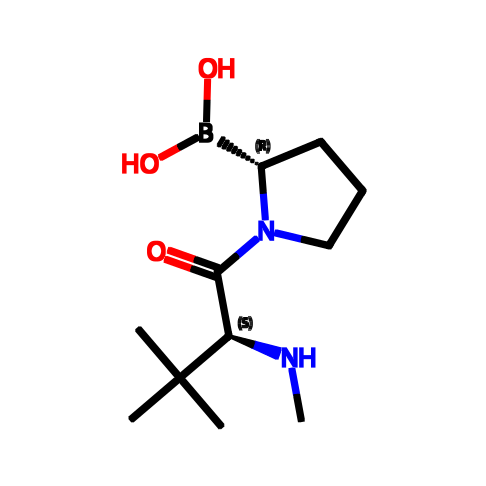 CN[C@H](C(=O)N1CCC[C@H]1B(O)O)C(C)(C)C